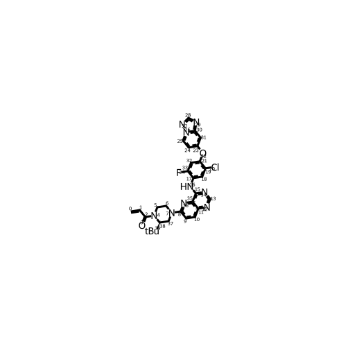 C=CC(=O)N1CCN(c2ccc3ncnc(Nc4cc(Cl)c(Oc5ccn6ncnc6c5)cc4F)c3n2)C[C@H]1C(C)(C)C